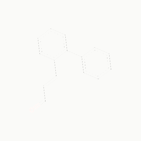 O=[C]C=Cc1ccccc1-c1ccccc1